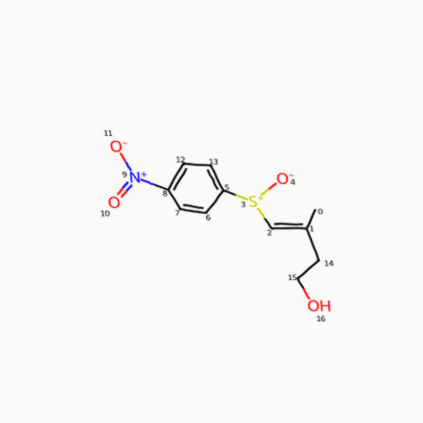 C/C(=C\[S+]([O-])c1ccc([N+](=O)[O-])cc1)CCO